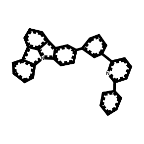 c1ccc(-c2cccc(-c3cccc(-c4ccc5c(c4)c4cccc6c7ccccc7n5c64)c3)n2)cc1